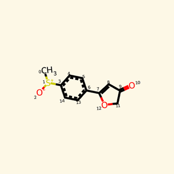 C[S+]([O-])c1ccc(C2=CC(=O)CO2)cc1